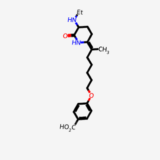 CCNC1CC/C(=C(\C)CCCCCOc2ccc(C(=O)O)cc2)NC1=O